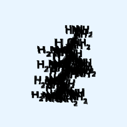 N=C(N)NCCC[C@@H](N)C(=O)Nc1ccc(OCCNC(=N)N)c(C(=O)N[C@H](CCCNC(=N)N)C(=O)Nc2ccc(OCCNC(=N)N)c(C(=O)N[C@H](CCCNC(=N)N)C(=O)Nc3ccc(OCCNC(=N)N)c(C(=O)N[C@H](CCCNC(=N)N)C(=O)Nc4ccc(OCCNC(=N)N)c(C(N)=O)c4)c3)c2)c1